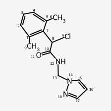 Cc1cccc(C)c1C(Cl)C(=O)NCn1cccn1